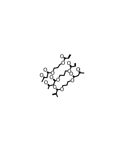 C=C(C)C(=O)OCCCOC(=O)CC(C)=O.C=CC(=O)OCCCOC(=O)CC(C)=O.C=CC(=O)OCCCOC(=O)CC(C)=O